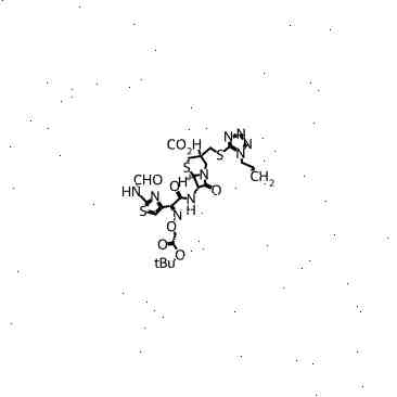 C=CCn1nnnc1SCC1(C(=O)O)CS[C@@H]2C(NC(=O)C(=NOCC(=O)OC(C)(C)C)c3csc(NC=O)n3)C(=O)N2C1